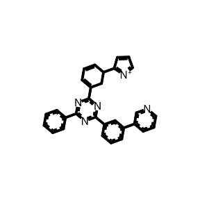 C1=CC(C2C=CC=C(c3nc(-c4ccccc4)nc(-c4cccc(-c5cccnc5)c4)n3)C2)=[N+]=C1